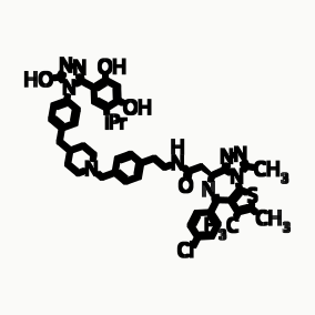 Cc1sc2c(c1C)C(c1ccc(Cl)cc1)=N[C@@H](CC(=O)NCCc1ccc(CN3CCC(Cc4ccc(-n5c(O)nnc5-c5cc(C(C)C)c(O)cc5O)cc4)CC3)cc1)c1nnc(C)n1-2